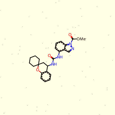 COC(=O)n1ncc2c(NC(=O)NC3CC4(CCCCC4)Oc4ccccc43)cccc21